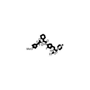 CCC(=O)NC(Cc1ccc(NC(=O)C(NC(=O)C(F)(F)c2ccc(OC)cc2)C2CCCCC2)c(F)c1)C(=O)N1CCN(C)CC1